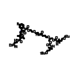 CCN(CC)CCNC(=O)c1c(C)[nH]c(/C=C2\C(=O)N(C(=O)OCCOCCNC(=O)CCCOC(COC(=O)NC(C)(C)CCOC(C)(C)C)COC(=O)NC(C)(C)CCOC(C)(C)C)c3ccc(F)cc32)c1C